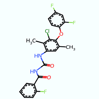 Cc1cc(NC(=O)NC(=O)c2ccccc2F)c(C)c(Cl)c1Oc1ccc(F)cc1F